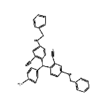 N#Cc1cc(NCc2ccccc2)ccc1C(c1ccc(N)cc1)c1ccc(NCc2ccccc2)cc1C#N